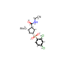 CO[C@H]1C[C@@H](S(=O)(=O)c2ccc(Cl)cc2Cl)C[C@@H]1C(=O)NCC#N